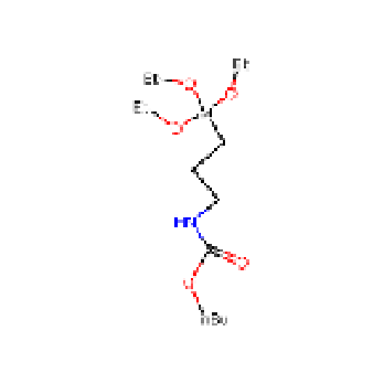 [CH2]CCCOC(=O)NCCC[Si](OCC)(OCC)OCC